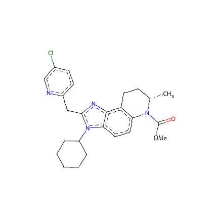 COC(=O)N1c2ccc3c(nc(Cc4ccc(Cl)cn4)n3C3CCCCC3)c2CC[C@@H]1C